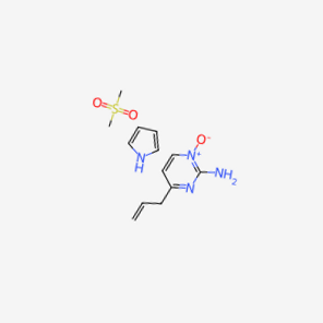 C=CCc1cc[n+]([O-])c(N)n1.CS(C)(=O)=O.c1cc[nH]c1